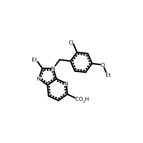 CCOc1ccc(Cn2c(CC)nc3ccc(C(=O)O)nc32)c(Cl)c1